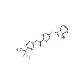 CN(C)c1ccc(CNc2ccc(Cc3c[nH]c4ncccc34)cn2)cn1